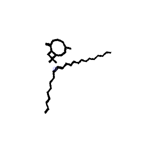 C=C1CCCC(C)CCC2C1CC2(C)C.CCCCCCCC/C=C\CCCCCCCCCCCCC